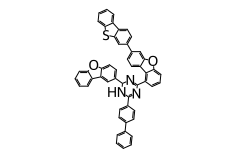 c1ccc(-c2ccc(C3=NC(c4cccc5oc6cc(-c7ccc8c(c7)sc7ccccc78)ccc6c45)=NC(c4ccc5oc6ccccc6c5c4)N3)cc2)cc1